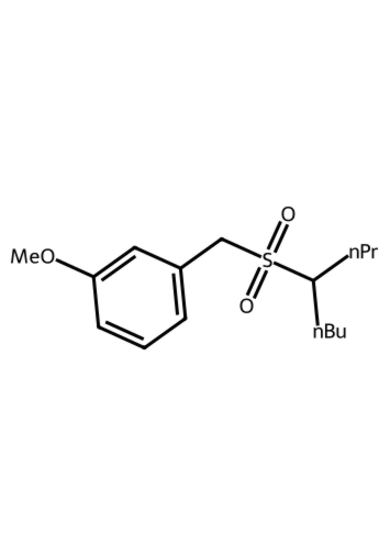 CCCCC(CCC)S(=O)(=O)Cc1cccc(OC)c1